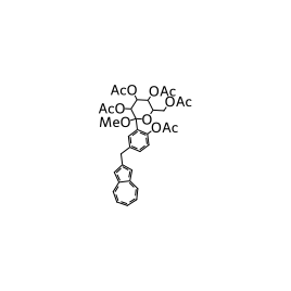 COC1(c2cc(Cc3cc4cccccc-4c3)ccc2OC(C)=O)OC(COC(C)=O)C(OC(C)=O)C(OC(C)=O)C1OC(C)=O